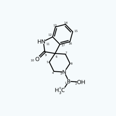 CB(O)N1CCC2(CC1)C(=O)Nc1ccccc12